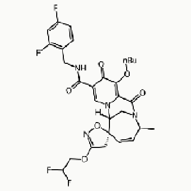 CCCCOc1c2n(cc(C(=O)NCc3ccc(F)cc3F)c1=O)[C@@H]1CN(C2=O)[C@@H](C)C=C[C@]12CC(OCC(F)F)=NO2